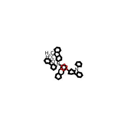 CC1(C)c2ccccc2-c2ccc(N(c3ccc(-c4ccc5c6ccccc6n(-c6ccccc6)c5c4)c4c3C3c5ccccc5C4c4ccccc43)c3cccc4c3oc3ccccc34)cc21